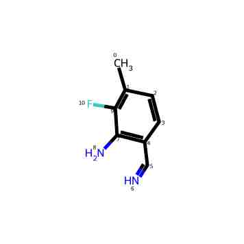 Cc1ccc(C=N)c(N)c1F